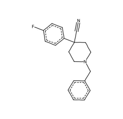 N#CC1(c2ccc(F)cc2)CCN(Cc2ccccc2)CC1